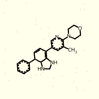 Cc1cc(C2=C3NCNC3C(c3ccccc3)C=C2)cnc1N1CCOCC1